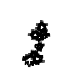 CC(C)(C)[Si](OC[C@@H]1C=C[C@H](n2cc(C#N)c3c(N)ncnc32)O1)(c1ccccc1)c1ccccc1